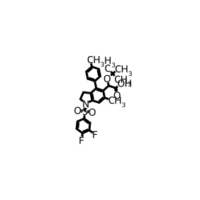 Cc1ccc(-c2c3c(cc(C)c2C(OC(C)(C)C)C(=O)O)N(S(=O)(=O)c2ccc(F)c(F)c2)CC3)cc1